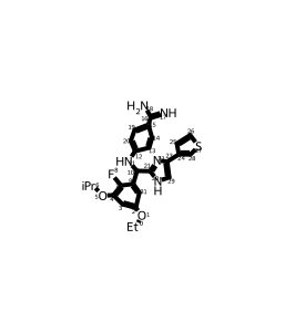 CCOc1cc(OC(C)C)c(F)c(C(Nc2ccc(C(=N)N)cc2)c2nc(-c3ccsc3)c[nH]2)c1